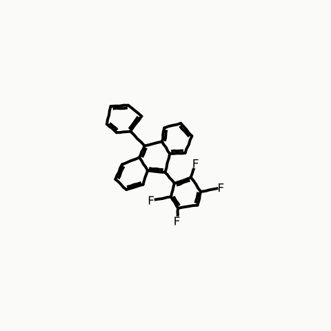 Fc1cc(F)c(F)c(-c2c3ccccc3c(-c3ccccc3)c3ccccc23)c1F